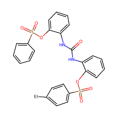 CCc1ccc(S(=O)(=O)Oc2ccccc2NC(=O)Nc2ccccc2OS(=O)(=O)c2ccccc2)cc1